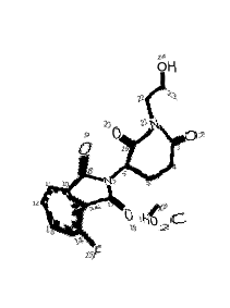 CC(=O)O.O=C1CCC(N2C(=O)c3cccc(F)c3C2=O)C(=O)N1CCO